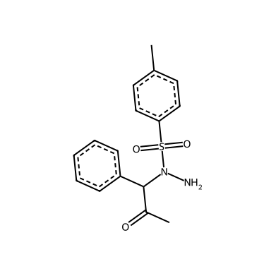 CC(=O)C(c1ccccc1)N(N)S(=O)(=O)c1ccc(C)cc1